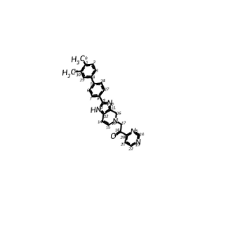 Cc1ccc(-c2ccc(-c3nc4c([nH]3)C=CN(CC(=O)c3ccncn3)C4)cc2)cc1C